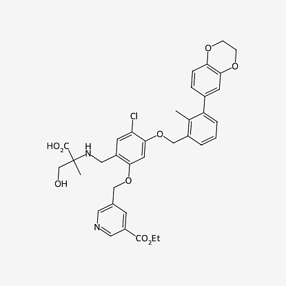 CCOC(=O)c1cncc(COc2cc(OCc3cccc(-c4ccc5c(c4)OCCO5)c3C)c(Cl)cc2CNC(C)(CO)C(=O)O)c1